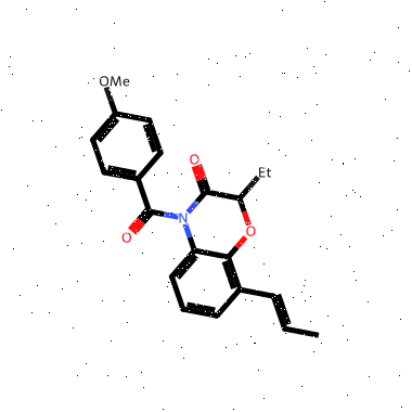 CC=Cc1cccc2c1OC(CC)C(=O)N2C(=O)c1ccc(OC)cc1